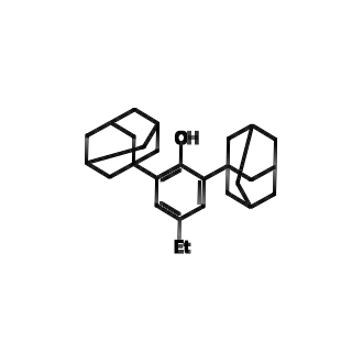 CCc1cc(C23CC4CC(CC(C4)C2)C3)c(O)c(C23CC4CC(CC(C4)C2)C3)c1